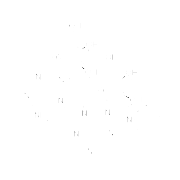 Nc1ncnc2c1nc(N1CCCCC1)n2[C@@H]1O[C@H](CO)[C@@H](O)[C@H]1O.Nc1ncnc2c1ncn2[C@@H]1O[C@H](CO)[C@@H](O)[C@H]1O